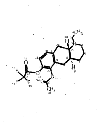 CCN1CCC[C@H]2Cc3c(ccc(OC(=O)C(F)(F)F)c3OC(C)=O)C[C@@H]21